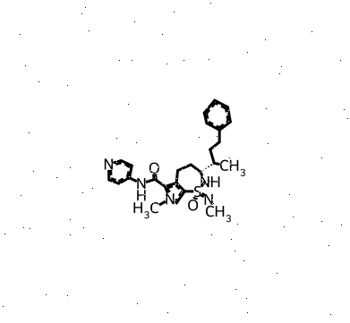 CN=S1(=O)N[C@@H](C(C)CCc2ccccc2)CCc2c1cn(C)c2C(=O)Nc1ccncc1